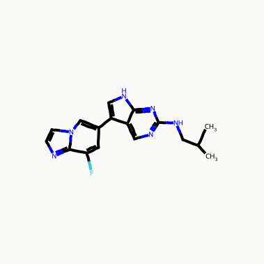 CC(C)CNc1ncc2c(-c3cc(F)c4nccn4c3)c[nH]c2n1